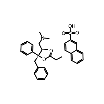 CCC(=O)O[C@](Cc1ccccc1)(c1ccccc1)[C@H](C)CN(C)C.O=S(=O)(O)c1ccc2ccccc2c1